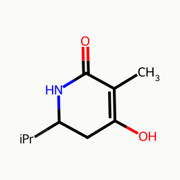 CC1=C(O)CC(C(C)C)NC1=O